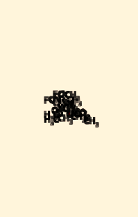 COc1ccc(CN(c2nn(C)c3c(N4Cc5c(C)cccc5N=C4[C@H](Cc4cc(F)cc(F)c4)NC(=O)OC(C)(C)C)ccc(Cl)c23)S(C)(=O)=O)cc1